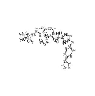 CN1C(=O)[C@@H](NC(=O)c2ncn(Cc3ccc(-c4ccccc4)cc3)n2)COc2ccc(C#CC(C)(C)O)cc21